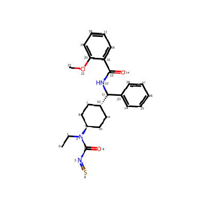 CCN(C(=O)N=S)[C@H]1CC[C@H](C(NC(=O)c2ccccc2OC)c2ccccc2)CC1